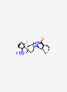 O=c1[nH]c(N2CCC3(CC2)CNc2cccc(F)c23)cc2c1CCCC2